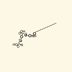 CCCCCCCCCCCCCCCCCCc1ccc(Nc2ccc(-c3ccc(/C=C(/C(=O)O)c4ccc(-c5ccc(/C=C(\C#N)C(=O)O)s5)cc4)s3)cc2)cc1